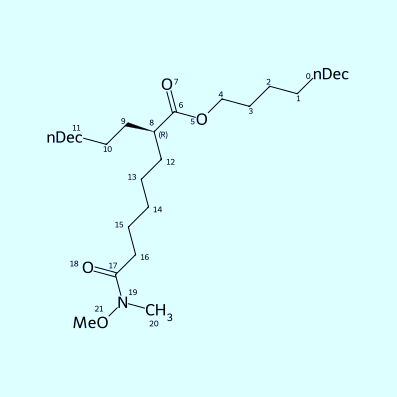 CCCCCCCCCCCCCCOC(=O)[C@H](CCCCCCCCCCCC)CCCCCC(=O)N(C)OC